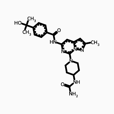 Cc1cc2cc(NC(=O)c3ccc(C(C)(C)O)cc3)nc(N3CCC(NC(N)=O)CC3)n2n1